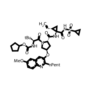 C=C[C@@H]1C[C@]1(NC(=O)[C@@H]1C[C@@H](Oc2cc3cc(OC)ccc3nc2CCCCC)CN1C(=O)[C@@H](NC(=O)OC1CCCC1)C(C)(C)C)C(=O)NS(=O)(=O)C1CC1